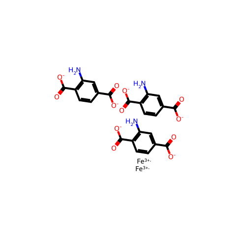 Nc1cc(C(=O)[O-])ccc1C(=O)[O-].Nc1cc(C(=O)[O-])ccc1C(=O)[O-].Nc1cc(C(=O)[O-])ccc1C(=O)[O-].[Fe+3].[Fe+3]